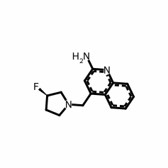 Nc1cc(CN2CC[C@@H](F)C2)c2ccccc2n1